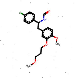 COCCCOc1cc(CC(NC=O)c2ccc(F)cc2)ccc1OC